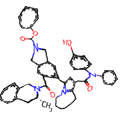 C[C@@H]1Cc2ccccc2CN1C(=O)c1cc2c(cc1-c1cc(C(=O)N(c3ccccc3)c3ccc(O)cc3)c3n1CCCC3)CN(C(=O)Oc1ccccc1)C2